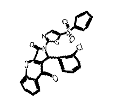 O=C1c2oc3ccccc3c(=O)c2C(c2cccc(Cl)c2)N1c1ncc(S(=O)(=O)c2ccccc2)s1